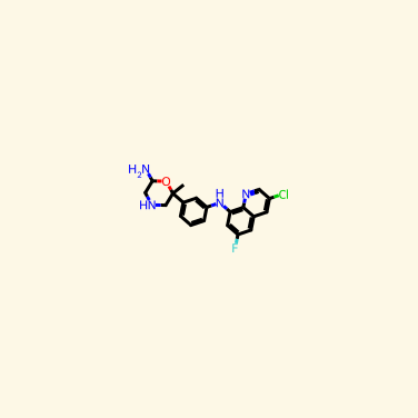 CC1(c2cccc(Nc3cc(F)cc4cc(Cl)cnc34)c2)CNCC(N)O1